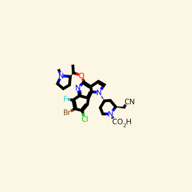 CC(Oc1nc2c(F)c(Br)c(Cl)cc2c2c1ccn2[C@H]1CCN(C(=O)O)[C@H](CC#N)C1)[C@@H]1CCCN1C